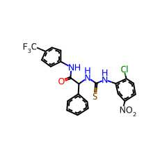 O=C(Nc1ccc(C(F)(F)F)cc1)C(NC(=S)Nc1cc([N+](=O)[O-])ccc1Cl)c1ccccc1